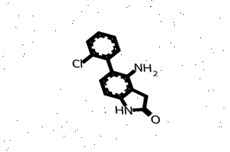 Nc1c(-c2ccccc2Cl)ccc2c1CC(=O)N2